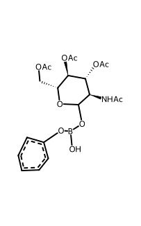 CC(=O)N[C@H]1C(OB(O)Oc2ccccc2)O[C@H](COC(C)=O)[C@@H](OC(C)=O)[C@@H]1OC(C)=O